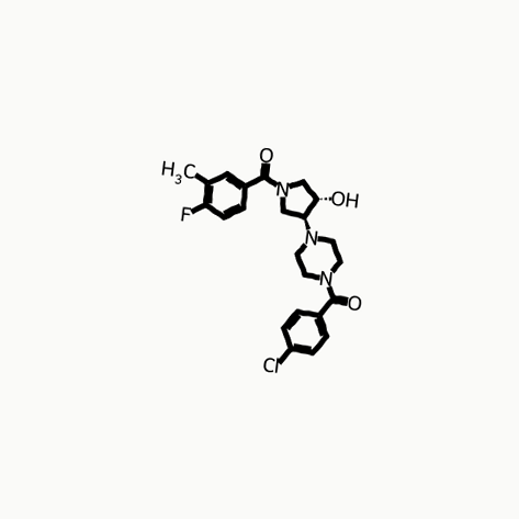 Cc1cc(C(=O)N2C[C@H](O)[C@@H](N3CCN(C(=O)c4ccc(Cl)cc4)CC3)C2)ccc1F